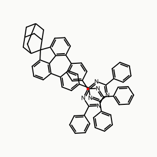 c1ccc(-c2nc(-c3ccccc3)nc(-c3ccc(-c4cccc5c4-c4c(-c6ccc(-c7nc(-c8ccccc8)nc(-c8ccccc8)n7)cc6)cccc4C54C5CC6CC(C5)CC4C6)cc3)n2)cc1